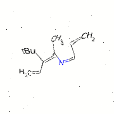 C=C/C=N\C(C)=C(/C=C)C(C)(C)C